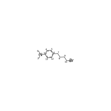 CN(C)c1ccc(CCCCBr)cc1